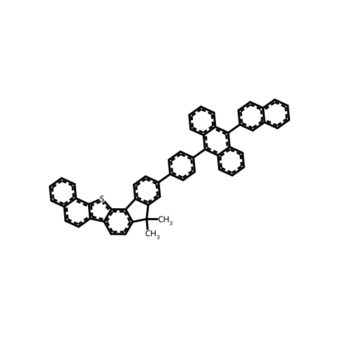 CC1(C)c2cc(-c3ccc(-c4c5ccccc5c(-c5ccc6ccccc6c5)c5ccccc45)cc3)ccc2-c2c1ccc1c2sc2c3ccccc3ccc12